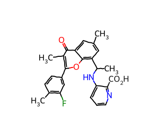 Cc1cc(C(C)Nc2cccnc2C(=O)O)c2oc(-c3ccc(C)c(F)c3)c(C)c(=O)c2c1